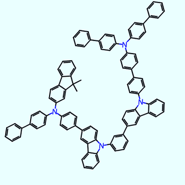 CC1(C)c2ccccc2-c2ccc(N(c3ccc(-c4ccccc4)cc3)c3ccc(-c4ccc5c(c4)c4ccccc4n5-c4cccc(-c5ccc6c(c5)c5ccccc5n6-c5ccc(-c6ccc(N(c7ccc(-c8ccccc8)cc7)c7ccc(-c8ccccc8)cc7)cc6)cc5)c4)cc3)cc21